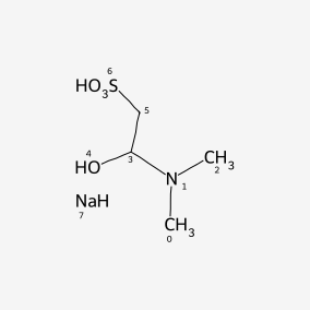 CN(C)C(O)CS(=O)(=O)O.[NaH]